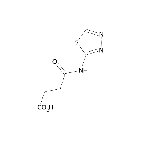 O=C(O)CCC(=O)Nc1nncs1